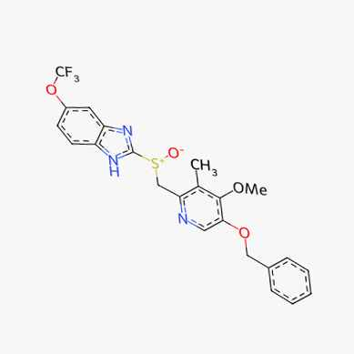 COc1c(OCc2ccccc2)cnc(C[S+]([O-])c2nc3cc(OC(F)(F)F)ccc3[nH]2)c1C